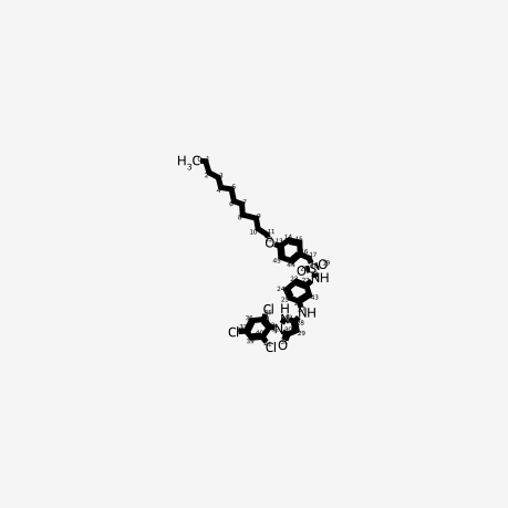 CCCCCCCCCCCCOc1ccc(CS(=O)(=O)Nc2cccc(Nc3cc(=O)n(-c4c(Cl)cc(Cl)cc4Cl)[nH]3)c2)cc1